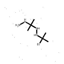 CCC(C)(C)NNC(C)(C)NN